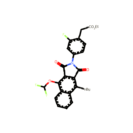 CCCCc1c2c(c(OC(F)F)c3ccccc13)C(=O)N(c1ccc(CC(=O)OCC)c(F)c1)C2=O